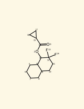 O=C(O[C]1C2CCCCC2CCC1(F)F)C1CC1